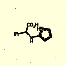 CC(C)C(Nc1ccc[nH]1)C(=O)O